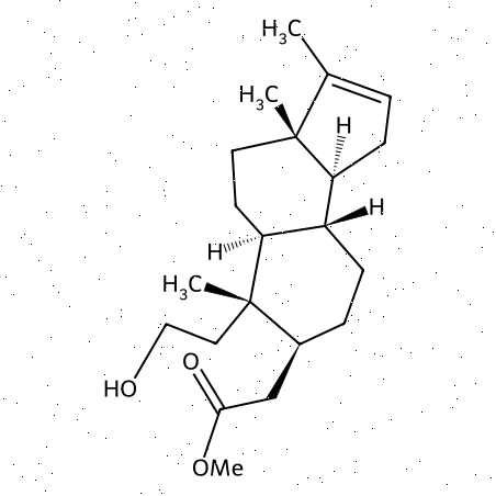 COC(=O)C[C@@H]1CC[C@@H]2[C@H](CC[C@]3(C)C(C)=CC[C@@H]23)[C@@]1(C)CCO